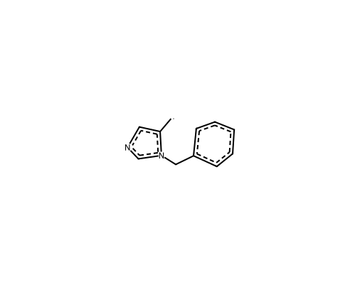 [CH2]c1cncn1Cc1ccccc1